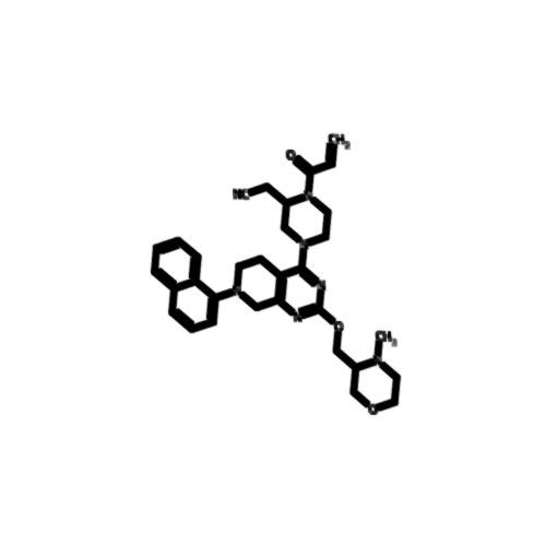 C=CC(=O)N1CCN(c2nc(OCC3COCCN3C)nc3c2CCN(c2cccc4ccccc24)C3)CC1CC#N